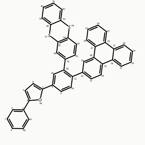 c1ccc(-c2ccc(-c3ccc(-c4ccc5c6ccccc6c6ccccc6c5c4)c(-c4ccc5c(c4)Sc4ccccc4S5)c3)o2)cc1